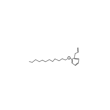 C=CCc1ccccc1OCCCCCCCCCCCC